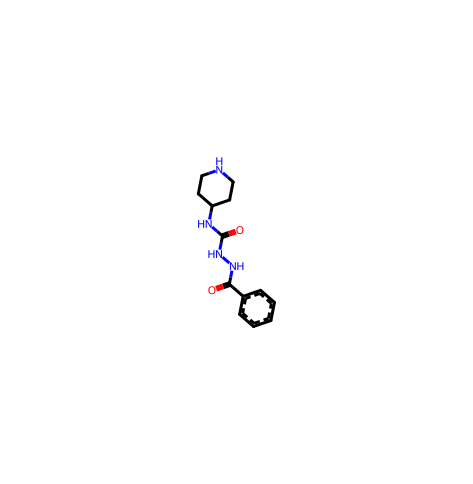 O=C(NNC(=O)c1ccccc1)NC1CCNCC1